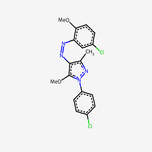 COc1ccc(Cl)cc1/N=N\c1c(C)nn(-c2ccc(Cl)cc2)c1OC